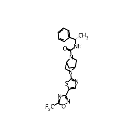 C[C@H](NC(=O)N1CC2CC1CN2c1ncc(-c2noc(C(F)(F)F)n2)s1)c1ccccc1